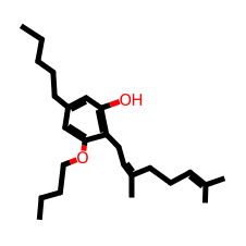 CCCCCc1cc(O)c(CC=C(C)CCC=C(C)C)c(OCCCC)c1